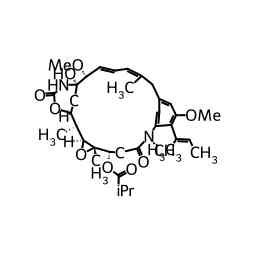 C/C=C(\C)c1c(OC)cc2cc1N(C)C(=O)C[C@H](OC(=O)C(C)C)[C@]1(C)O[C@H]1[C@H](C)[C@@H]1C[C@@](O)(NC(=O)O1)[C@H](OC)/C=C/C=C(\C)C2